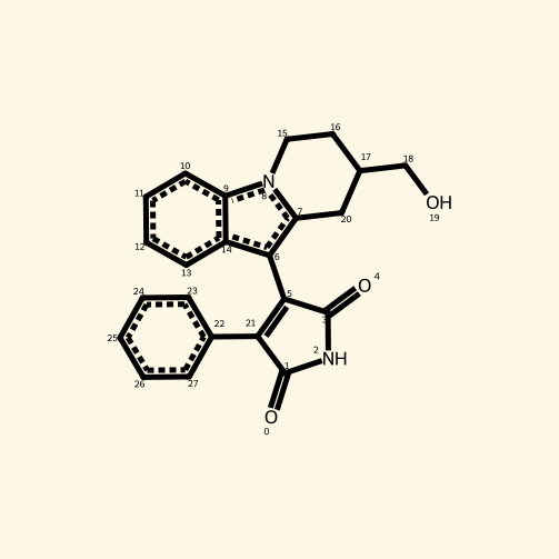 O=C1NC(=O)C(c2c3n(c4ccccc24)CCC(CO)C3)=C1c1ccccc1